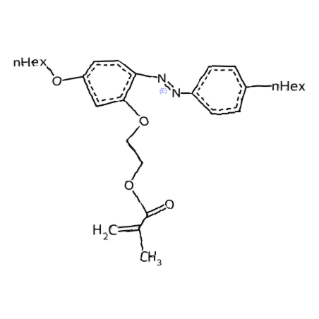 C=C(C)C(=O)OCCOc1cc(OCCCCCC)ccc1/N=N/c1ccc(CCCCCC)cc1